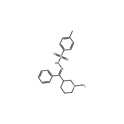 Cc1ccc(S(=O)(=O)NN=C(c2ccccc2)C2CCCN(P)C2)cc1